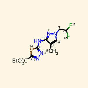 CCOC(=O)c1nnc(Nc2nn(CC(F)F)cc2C)s1